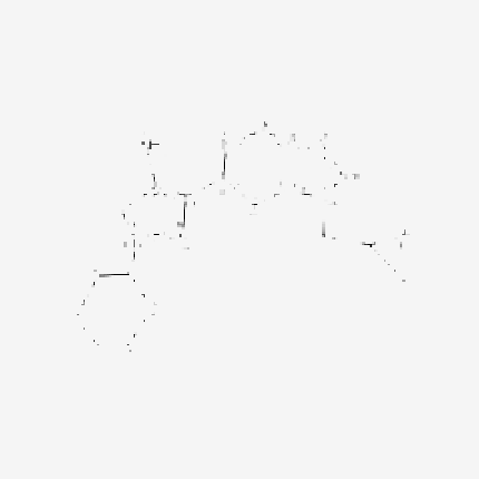 Nc1cn(C2CCCCO2)nc1-c1cc2c(cn1)cnn2CC1CC1